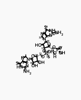 Nc1nc2c(ncn2[C@@H]2O[C@H](COP(O)(=S)OC3C(O)[C@H](n4cnc5c(=S)[nH]c(N)nc54)O[C@@H]3COP(=O)(O)O)C(O)C2O)c(=S)[nH]1